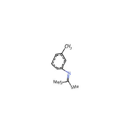 CSC(=Nc1cccc(C)c1)SC